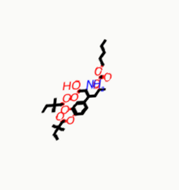 CCCCCOC(=O)OC(C)CC(c1ccc(OC(=O)C(C)(C)CC)c(OC(=O)C(C)(C)CC)c1)[C@H](N)C(=O)O